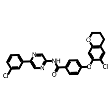 O=C(Nc1cnc(-c2cccc(Cl)c2)cn1)c1ccc(Oc2cc3c(cc2Cl)CCCO3)cc1